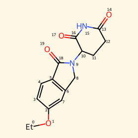 CCOc1ccc2c(c1)CN(C1CCC(=O)NC1=O)C2=O